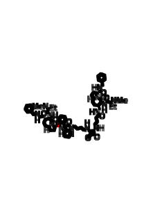 CC[C@H](NC)C(=O)N[C@@H]1C(=O)N2[C@@H](CC[C@@H]1CNC(=O)CCCNc1c(NCCCCNC(=O)C(NC(=O)[C@@H]3CC[C@@H]4CC[C@H](CCNCc5ccccc5)[C@H](NC(=O)[C@H](CC)NC)C(=O)N43)(c3ccccc3)c3ccccc3)c(=O)c1=O)CC[C@H]2C(=O)NCc1ccccc1